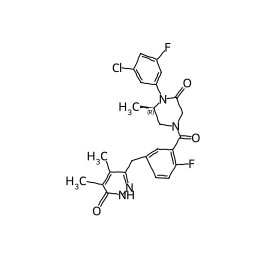 Cc1c(Cc2ccc(F)c(C(=O)N3CC(=O)N(c4cc(F)cc(Cl)c4)[C@H](C)C3)c2)n[nH]c(=O)c1C